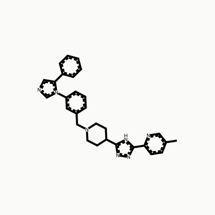 Cc1ccc(-c2nnc(C3CCN(Cc4cccc(-n5cncc5-c5ccccc5)c4)CC3)[nH]2)nc1